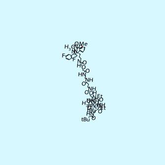 CCC(C)(NCC(=O)C(C)(CC)NC(COC(=O)NCCC(=O)NCCNC(=O)COCC(=O)NCCC[C@@]1(c2ccccc2)SC(c2cc(F)ccc2F)=NN1C(=O)N(C)OC)C(=O)NC(C)(C)COC(C)(C)C)C(=O)CCNC(=O)CC(C)(C)C